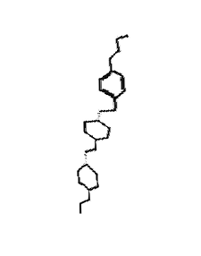 CCCCc1ccc(CC[C@H]2CC[C@H](CC[C@H]3CC[C@H](CCC)CC3)CC2)cc1